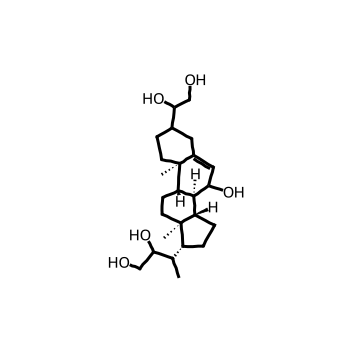 CC(C(O)CO)[C@H]1CC[C@H]2[C@@H]3C(O)C=C4CC(C(O)CO)CC[C@]4(C)[C@H]3CC[C@]12C